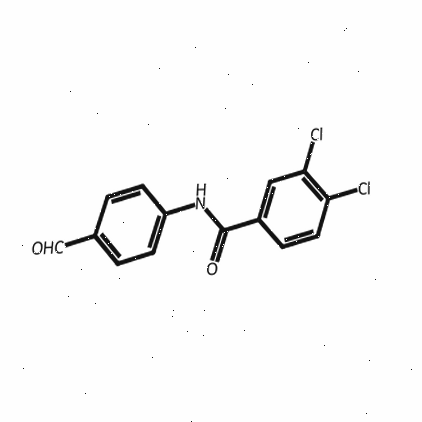 O=Cc1ccc(NC(=O)c2ccc(Cl)c(Cl)c2)cc1